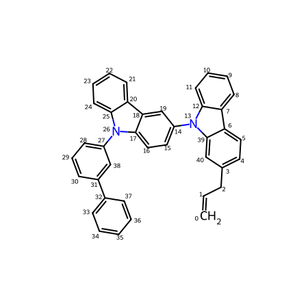 C=CCc1ccc2c3ccccc3n(-c3ccc4c(c3)c3ccccc3n4-c3cccc(-c4ccccc4)c3)c2c1